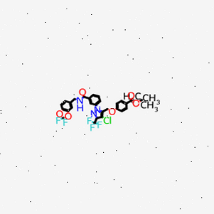 CC(C)(C)OC(=O)c1ccc(OCc2c(Cl)c(C(F)(F)F)nn2-c2cccc(C(=O)NCc3ccc4c(c3)OC(F)(F)O4)c2)cc1